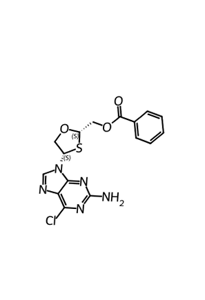 Nc1nc(Cl)c2ncn([C@@H]3CO[C@H](COC(=O)c4ccccc4)S3)c2n1